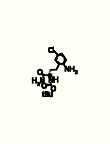 CC(C)(C)OC(=O)N[C@@H](CCc1cc(Cl)ccc1N)C(N)=O